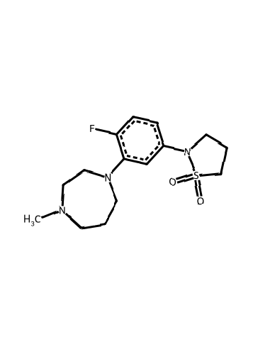 CN1CCCN(c2cc(N3CCCS3(=O)=O)ccc2F)CC1